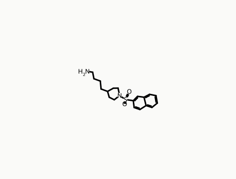 NCCCCC1CCN(S(=O)(=O)c2ccc3ccccc3c2)CC1